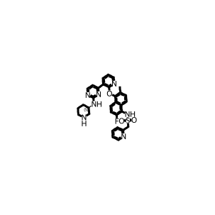 Cc1ccc2c(NS(=O)(=O)Cc3ccccn3)c(F)ccc2c1Oc1ncccc1-c1ccnc(N[C@H]2CCCNC2)n1